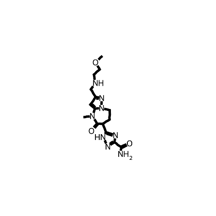 COCCNCc1cc2n(n1)CCC(c1nc(C(N)=O)n[nH]1)C(=O)N2C